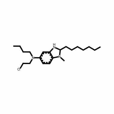 CCCCCCCC1Nc2cc(N(CCCl)CCCC)ccc2N1C